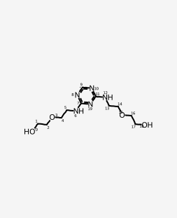 OCCOCCNc1n[c]nc(NCCOCCO)n1